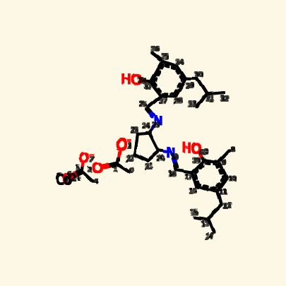 CC(=O)[O-].CC(=O)[O-].Cc1cc(CC(C)C)cc(C=NC2CCCC2N=Cc2cc(CC(C)C)cc(C)c2O)c1O.[Co+2]